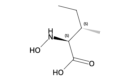 CC[C@H](C)[C@H](NO)C(=O)O